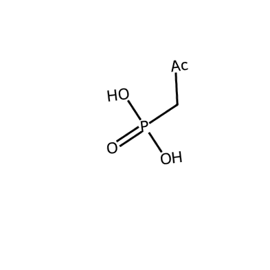 CC(=O)CP(=O)(O)O